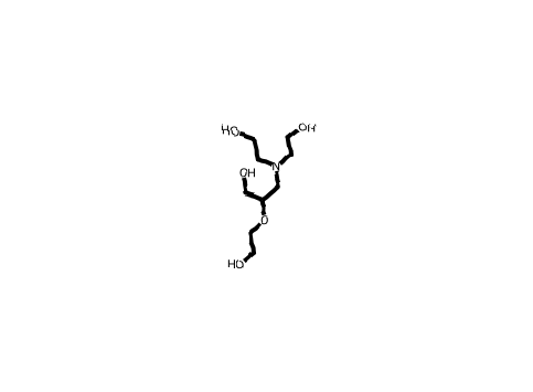 OCCOC(CO)CN(CCO)CCO